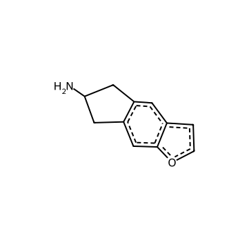 NC1Cc2cc3ccoc3cc2C1